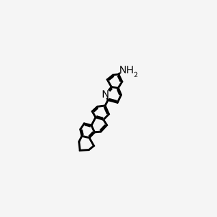 Nc1ccc2nc(-c3ccc4c(ccc5c6c(ccc54)CCCC6)c3)ccc2c1